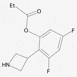 CCC(=O)Oc1cc(F)cc(F)c1C1CNC1